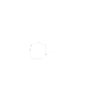 CC1(F)CCCCCC1